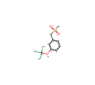 CS(=O)(=O)[CH]c1cccc(OC(F)(F)F)c1